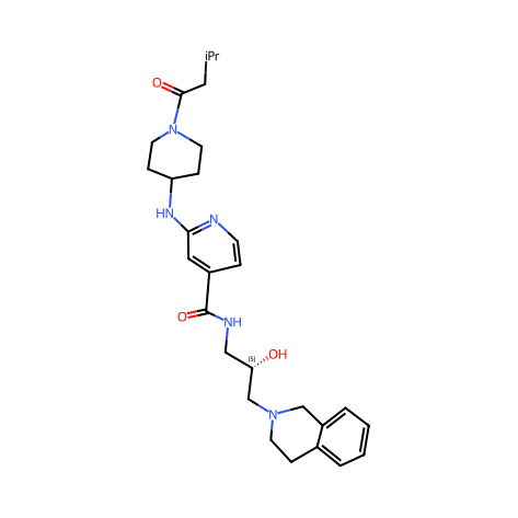 CC(C)CC(=O)N1CCC(Nc2cc(C(=O)NC[C@H](O)CN3CCc4ccccc4C3)ccn2)CC1